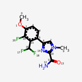 COc1ccc(-c2cn(C)c(C(N)=O)n2)c(C(F)F)c1F